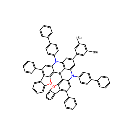 CC(C)(C)c1cc(-c2cc3c4c(c2)N(c2ccc(-c5ccccc5)cc2)c2cc(-c5ccccc5)c5c(oc6ccccc65)c2B4c2c(cc(-c4ccccc4)c4c2oc2ccccc24)N3c2ccc(-c3ccccc3)cc2)cc(C(C)(C)C)c1